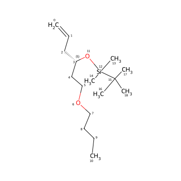 C=CC[C@@H](CCOCCCC)O[Si](C)(C)C(C)(C)C